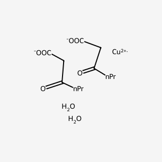 CCCC(=O)CC(=O)[O-].CCCC(=O)CC(=O)[O-].O.O.[Cu+2]